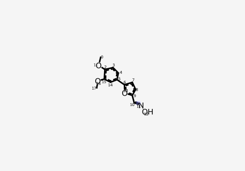 COc1ccc(-c2ccc(/C=N/O)o2)cc1OC